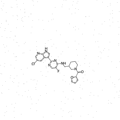 O=C(c1ccco1)N1CCCC(CNc2nc(-c3c[nH]c4ncc(Cl)cc34)ncc2F)C1